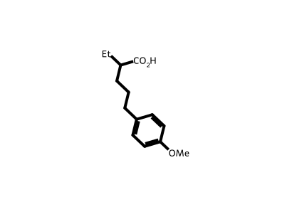 [CH2]CC(CCCc1ccc(OC)cc1)C(=O)O